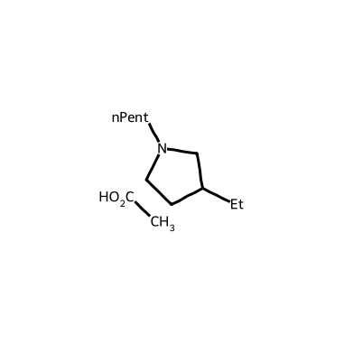 CC(=O)O.CCCCCN1CCC(CC)C1